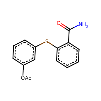 CC(=O)Oc1cccc(Sc2ccccc2C(N)=O)c1